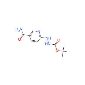 CC(C)(C)OC(=O)NNc1ccc(C(N)=O)cn1